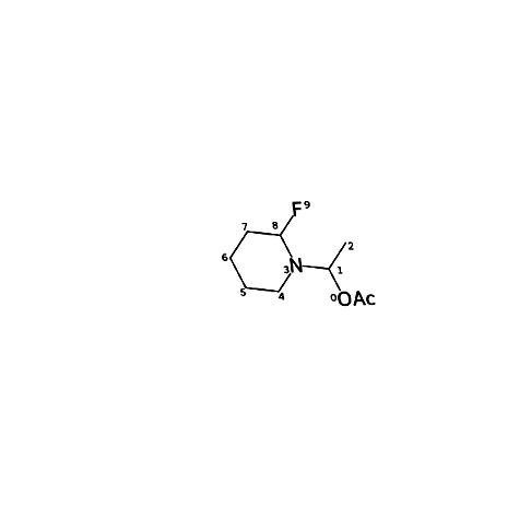 CC(=O)OC(C)N1CCCCC1F